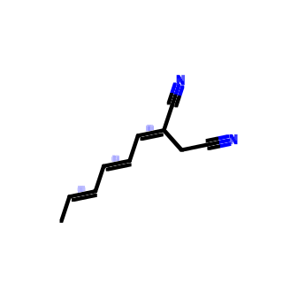 C/C=C/C=C/C=C(/C#N)CC#N